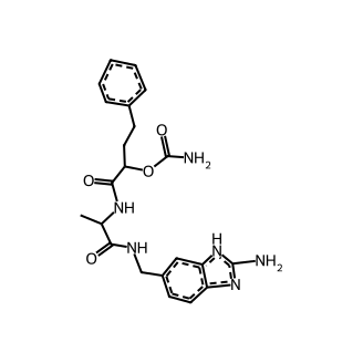 CC(NC(=O)C(CCc1ccccc1)OC(N)=O)C(=O)NCc1ccc2nc(N)[nH]c2c1